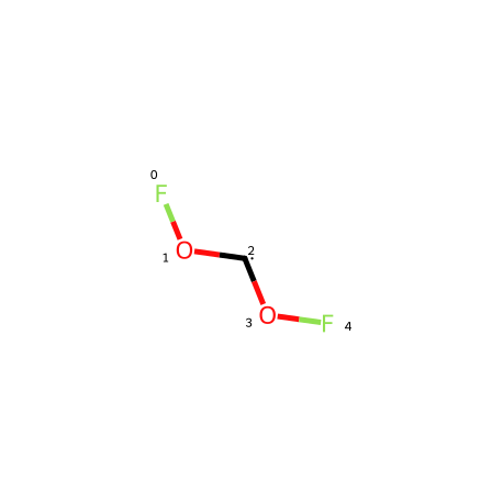 FO[CH]OF